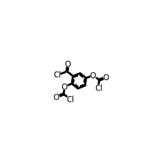 O=C(Cl)Oc1ccc(OC(=O)Cl)c(C(=O)Cl)c1